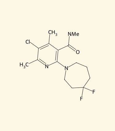 CNC(=O)c1c(N2CCCC(F)(F)CC2)nc(C)c(Cl)c1C